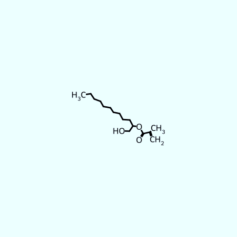 C=C(C)C(=O)OC(CO)CCCCCCCCCC